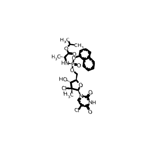 CC(C)OC(=O)[C@@H](C)N[P@@](=O)(OC[C@H]1O[C@@H](n2cc(Cl)c(=O)[nH]c2=O)[C@](C)(Cl)[C@@H]1O)Oc1cccc2ccccc12